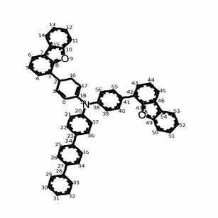 C1=CC(c2cccc3c2oc2ccccc23)CC=C1N(c1ccc(-c2ccc(-c3ccccc3)cc2)cc1)c1ccc(-c2cccc3c2oc2ccccc23)cc1